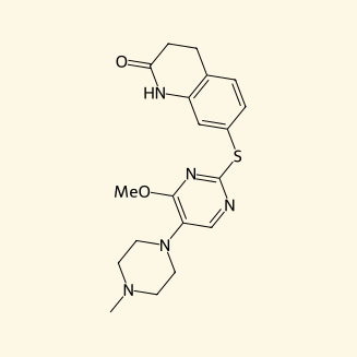 COc1nc(Sc2ccc3c(c2)NC(=O)CC3)ncc1N1CCN(C)CC1